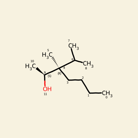 CCCC[C@](C)(C(C)C)[C@H](C)O